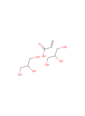 C=CC(=O)O.OCC(O)CO.OCC(O)CO